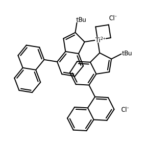 CC(C)(C)C1=Cc2c(-c3cccc4ccccc34)cccc2[CH]1[Ti+2]1([CH]2C(C(C)(C)C)=Cc3c(-c4cccc5ccccc45)cccc32)[CH2]C[CH2]1.[Cl-].[Cl-]